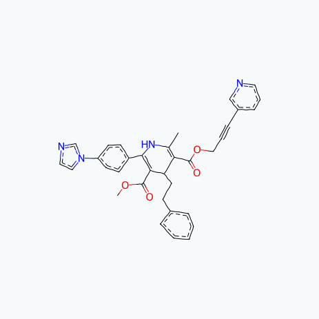 COC(=O)C1=C(c2ccc(-n3ccnc3)cc2)NC(C)=C(C(=O)OCC#Cc2cccnc2)C1CCc1ccccc1